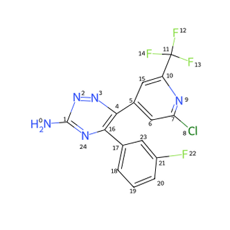 Nc1nnc(-c2cc(Cl)nc(C(F)(F)F)c2)c(-c2cccc(F)c2)n1